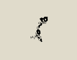 CC(C)OC(=O)CN1Cc2ccc(OCCCC(=O)NN3CCCC4CCCCC43)cc2N=C1N